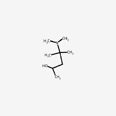 CC(O)CC(C)(C)N(C)C